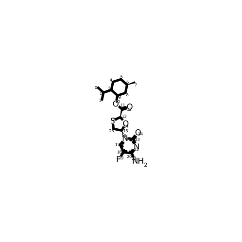 CC(C)C1CC[C@@H](C)CC1OC(=O)[C@H]1O[C@H](n2cc(F)c(N)nc2=O)CS1